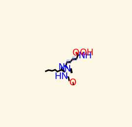 C=Cn1c(/C=C/C=C/C(=O)NO)nc(CCCCC)c1NCCOC